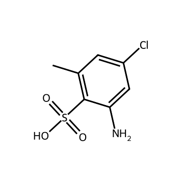 Cc1cc(Cl)cc(N)c1S(=O)(=O)O